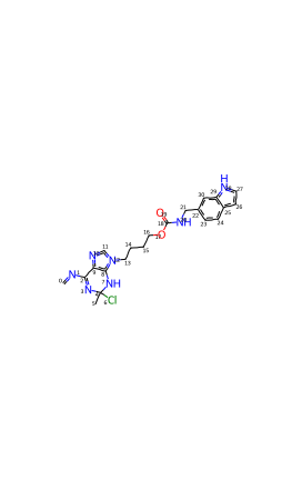 C=NC1=NC(C)(Cl)Nc2c1ncn2CCCCOC(=O)NCc1ccc2cc[nH]c2c1